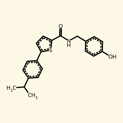 CC(C)c1ccc(-c2ccc(C(=O)NCc3ccc(O)cc3)s2)cc1